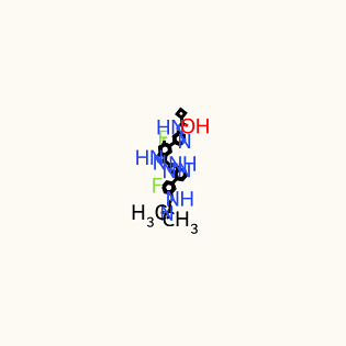 CN(C)CCNc1cc(F)cc(-c2ccnc3[nH]c(-c4n[nH]c5cc(F)c(-c6cncc(NC(O)C7CCC7)c6)cc45)nc23)c1